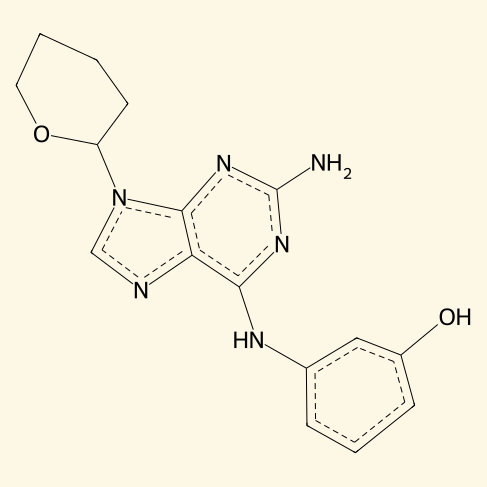 Nc1nc(Nc2cccc(O)c2)c2ncn(C3CCCCO3)c2n1